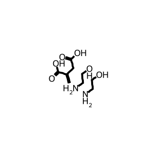 C=C(CC(=O)O)C(=O)O.NCCO.NCCO